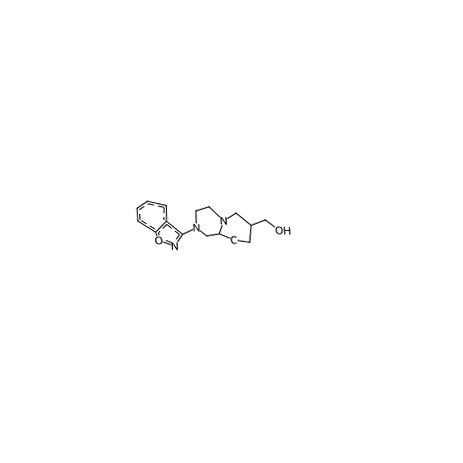 OCC1CCC2CN(c3noc4ccccc34)CCN2C1